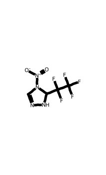 O=[N+]([O-])N1C=NNC1C(F)(F)C(F)(F)F